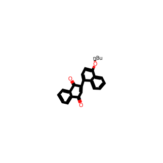 CCCCOc1ccc(C2=CC(=O)c3ccccc3C2=O)c2ccccc12